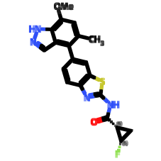 COc1cc(C)c(-c2ccc3nc(NC(=O)[C@@H]4C[C@@H]4F)sc3c2)c2cn[nH]c12